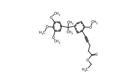 CCOC(=O)CCC#Cc1cc(C(C)(C)c2cc(OC)c(OC)c(OC)c2)ccc1OC